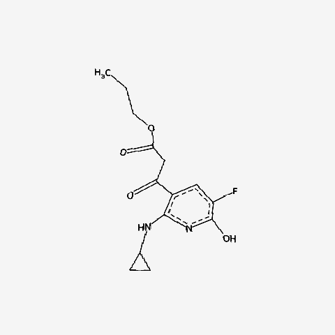 CCCOC(=O)CC(=O)c1cc(F)c(O)nc1NC1CC1